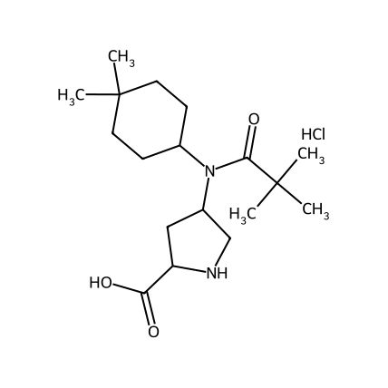 CC1(C)CCC(N(C(=O)C(C)(C)C)C2CNC(C(=O)O)C2)CC1.Cl